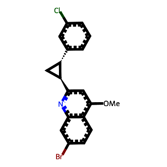 COc1cc([C@H]2C[C@@H]2c2cccc(Cl)c2)nc2cc(Br)ccc12